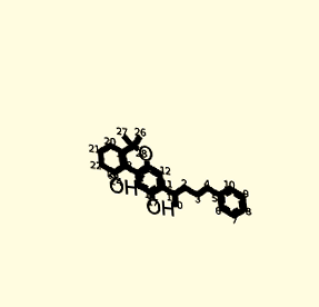 CC(CCCc1ccccc1)c1cc2c(cc1O)C1=C(CCC[C@H]1O)C(C)(C)O2